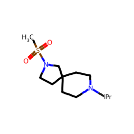 CC(C)N1CCC2(CC1)CCN(S(C)(=O)=O)C2